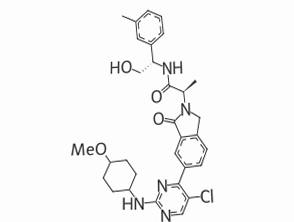 COC1CCC(Nc2ncc(Cl)c(-c3ccc4c(c3)C(=O)N([C@H](C)C(=O)N[C@H](CO)c3cccc(C)c3)C4)n2)CC1